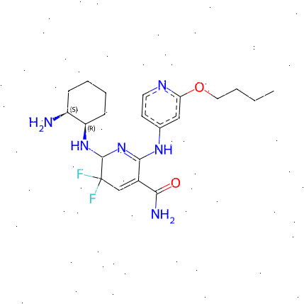 CCCCOc1cc(NC2=NC(N[C@@H]3CCCC[C@@H]3N)C(F)(F)C=C2C(N)=O)ccn1